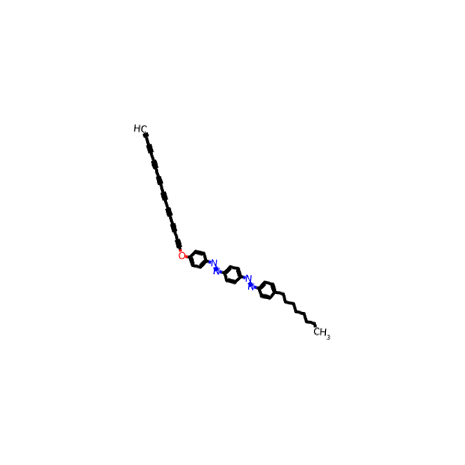 C#CC#CC#CC#CC#CC#CC#CC#COc1ccc(N=Nc2ccc(N=Nc3ccc(CCCCCCCC)cc3)cc2)cc1